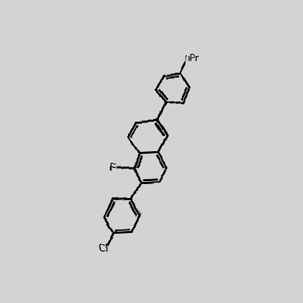 CCCc1ccc(-c2ccc3c(F)c(-c4ccc(Cl)cc4)ccc3c2)cc1